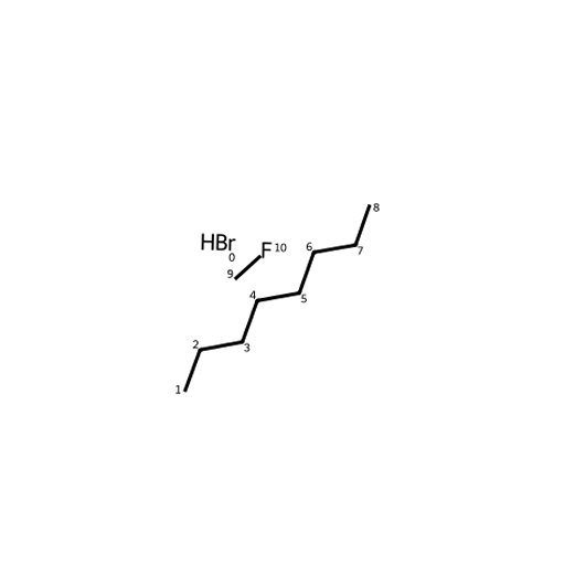 Br.CCCCCCCC.CF